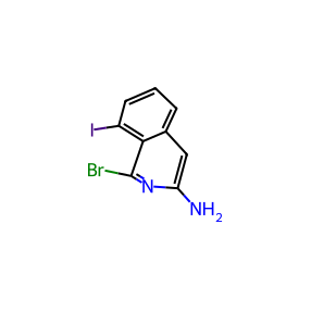 Nc1cc2cccc(I)c2c(Br)n1